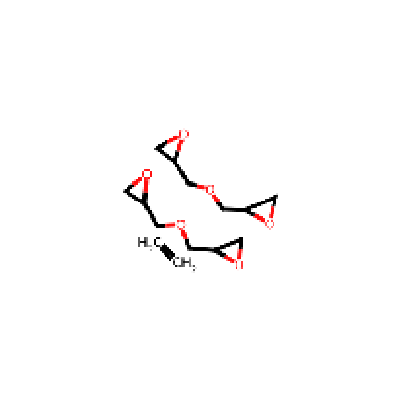 C(OCC1CO1)C1CO1.C(OCC1CO1)C1CO1.C=C